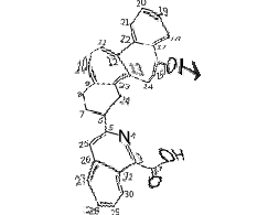 O=C(O)c1nc(C2CCc3ccc4c(cc(O)c5ccccc54)c3C2)cc2ccccc12